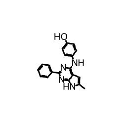 Cc1cc2c(Nc3ccc(O)cc3)nc(-c3ccccc3)nc2[nH]1